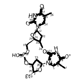 CC[C@H]1O[C@@H](n2cc(C)c(=O)[nH]c2=O)CC1OP(O)OC[C@H]1O[C@@H](n2cc(C)c(=O)[nH]c2=O)CC1C